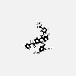 COc1ccc(CNc2ncc(I)c3c2c(-c2ccc(C(=O)Nc4ccccn4)cc2)nn3[C@@H]2CCCN(C(=O)OC(C)(C)C)C2)c(OC)c1